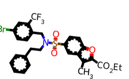 CCOC(=O)c1oc2ccc(S(=O)(=O)N(CCc3ccccc3)Cc3ccc(Br)cc3C(F)(F)F)cc2c1C